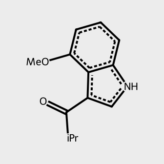 COc1cccc2[nH]cc(C(=O)C(C)C)c12